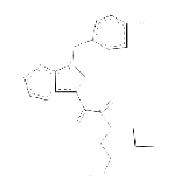 COCCN(CCOC)C(=O)C(=O)c1cn(Cc2ccc(F)cc2)c2ncccc12